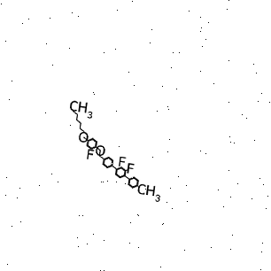 CCCCCCCOc1ccc(OCc2ccc(-c3ccc(-c4ccc(C)cc4)c(F)c3F)cc2)c(F)c1